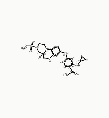 CCS(=O)(=O)N1CCN2c3ccc(Nc4ncc(C(N)=O)c(NC5CC5)n4)cc3OC[C@@H]2C1